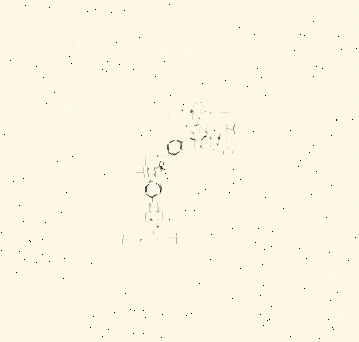 CC(C)N1CCN(c2ccc(NC(=O)Nc3ccc(-c4nc(N5CCOCC5C)nc(N5[C@H](C)CC[C@@H]5C)n4)cc3)cc2)CC1